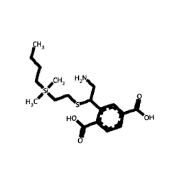 CCCC[Si](C)(C)CCSC(CN)c1cc(C(=O)O)ccc1C(=O)O